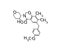 COc1ccc(Cc2cc3c(c(C)c2C)OCN([C@H]2COCC[C@@H]2O)C3=O)cc1